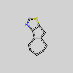 c1ccc2cc3scnc3c-2cc1